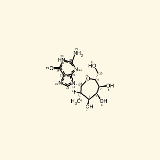 C[C@@]1(F)[C@H](O)[C@H](O)[C@H](O)[C@@H](CO)O[C@H]1n1cnc2c(=O)[nH]c(N)nc21